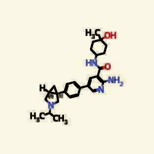 CC(C)N1C[C@@H]2C[C@]2(c2ccc(-c3cnc(N)c(C(=O)NC4CCC(C)(O)CC4)c3)cc2)C1